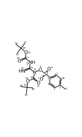 Cc1ccc(S(=O)(=O)ON(C(=N)NC(=O)OC(C)(C)C)C(=O)OC(C)(C)C)cc1